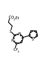 CCOC(=O)CCSc1nc(-c2cccs2)cc(C(F)(F)F)n1